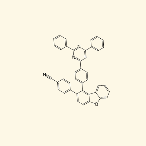 N#Cc1ccc(-c2ccc3oc4ccccc4c3c2-c2ccc(-c3cc(-c4ccccc4)nc(-c4ccccc4)n3)cc2)cc1